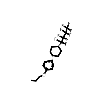 CCCOc1ccc([C@H]2CC[C@H](C(F)(F)C(F)(F)C(F)(F)C(F)(F)F)CC2)cc1